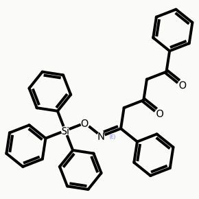 O=C(CC(=O)c1ccccc1)C/C(=N\O[Si](c1ccccc1)(c1ccccc1)c1ccccc1)c1ccccc1